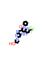 N#Cc1c(Nc2ccnc(N3CC[C@H](O)C3)c2)c2ccc(C(F)(F)F)nc2n(-c2ccccc2)c1=O